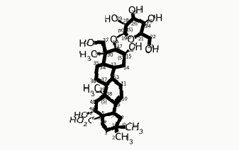 CC1(C)CC[C@@]2(C(=O)O)C(C1)C1=CCC3C4C[C@H](O)[C@H](O[C@@H]5OC(CO)[C@@H](O)C(O)[C@@H]5O)[C@@](C)(CO)C4CCC3[C@]1(C)C[C@H]2O